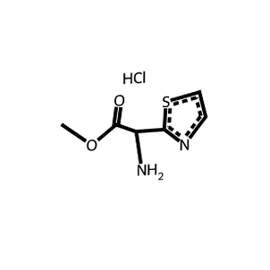 COC(=O)C(N)c1nccs1.Cl